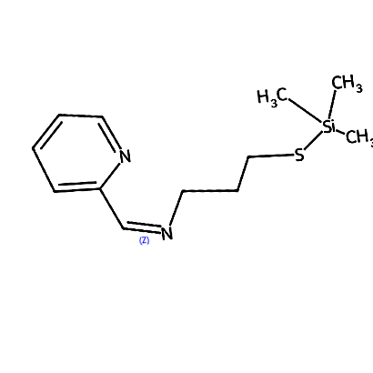 C[Si](C)(C)SCCC/N=C\c1ccccn1